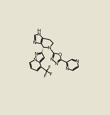 FC(F)(F)c1cccn2nc([C@@H]3c4nc[nH]c4CCN3c3nnc(-c4cnccn4)o3)cc12